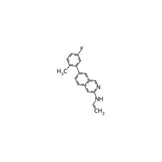 C=CNc1cc2ccc(-c3cc(F)ccc3C)cc2cn1